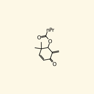 C=C1C(=O)C=CC(C)(C)C1OC(=O)CCC